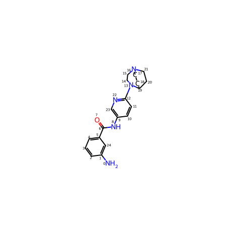 Nc1cccc(C(=O)Nc2ccc(N3CCN4CCC3CC4)nc2)c1